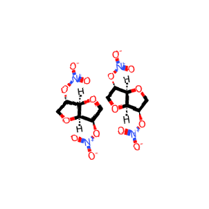 O=[N+]([O-])O[C@H]1CO[C@H]2[C@@H]1OC[C@H]2O[N+](=O)[O-].O=[N+]([O-])O[C@H]1CO[C@H]2[C@@H]1OC[C@H]2O[N+](=O)[O-]